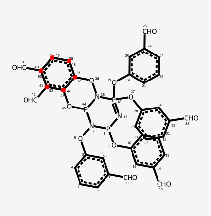 O=Cc1cccc(ON2P(Oc3cccc(C=O)c3)N=P(Oc3cccc(C=O)c3)(Oc3cccc(C=O)c3)N(Oc3cccc(C=O)c3)P2Oc2cccc(C=O)c2)c1